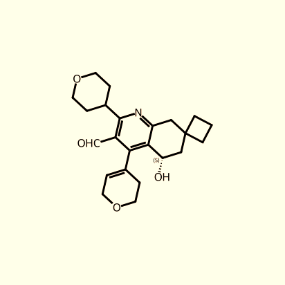 O=Cc1c(C2CCOCC2)nc2c(c1C1=CCOCC1)[C@@H](O)CC1(CCC1)C2